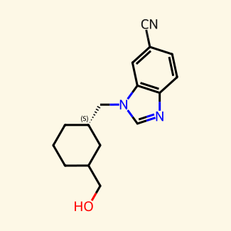 N#Cc1ccc2ncn(C[C@H]3CCCC(CO)C3)c2c1